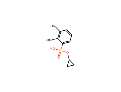 CCCCc1cccc(P(=O)(O)OC2CC2)c1CCCC